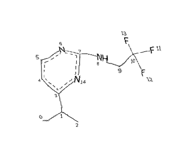 CC(C)c1ccnc(NCC(F)(F)F)n1